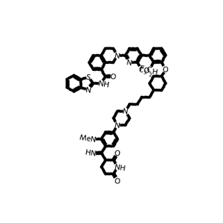 CNc1cc(N2CCN(CCCCC3CCC(Oc4cccc(-c5ccc(N6CCc7cccc(C(=O)Nc8nc9ccccc9s8)c7C6)nc5C(=O)O)c4C(F)(F)F)CC3)CC2)ccc1C(=N)C1CCC(=O)NC1=O